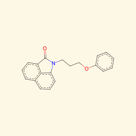 O=C1c2cccc3cccc(c23)N1CCCOc1ccccc1